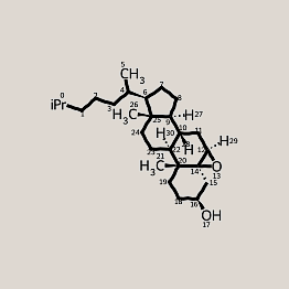 CC(C)CCCC(C)[C@H]1CC[C@H]2[C@@H]3C[C@H]4O[C@]45C[C@@H](O)CC[C@]5(C)[C@H]3CC[C@]12C